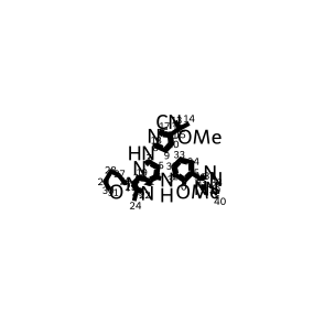 COc1c(Nc2cc(Nc3ccc(C(C)(C)OC)c(C#N)n3)nc3c2nc(C)n3C2CCCCO2)cccc1-c1nnn(C)n1